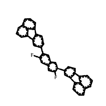 Fc1cc2cc(F)c(-c3ccc4c(c3)-c3cccc5cccc-4c35)cc2cc1-c1ccc2c(c1)-c1cccc3cccc-2c13